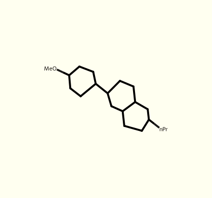 CCCC1CCC2CC(C3CCC(OC)CC3)CCC2C1